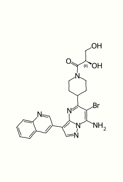 Nc1c(Br)c(C2CCN(C(=O)[C@H](O)CO)CC2)nc2c(-c3cnc4ccccc4c3)cnn12